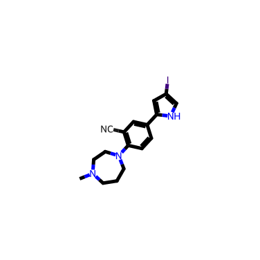 CN1CCCN(c2ccc(-c3cc(I)c[nH]3)cc2C#N)CC1